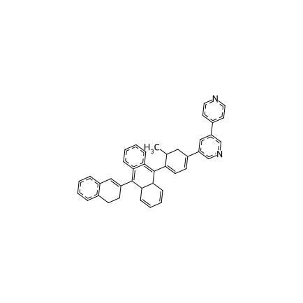 CC1CC(c2cncc(-c3ccncc3)c2)=CC=C1C1=c2ccccc2=C(C2=Cc3ccccc3CC2)C2C=CC=CC12